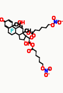 C[C@]12C=CC(=O)C=C1CCC1C3C[C@@H](O)[C@](OC(=O)CCCCCO[N+](=O)[O-])(C(=O)COC(=O)CCCCCO[N+](=O)[O-])[C@@]3(C)C[C@H](O)[C@@]12F